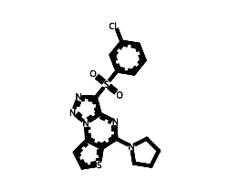 O=S(=O)(c1cccc(Cl)c1)c1nnn2c1nc(N1CCCC1)c1sccc12